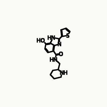 O=C(NCC1CCCCN1)c1ccc(O)c2[nH]c(-c3cccs3)nc12